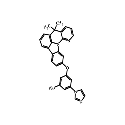 CC(C)(C)c1cc(Oc2ccc3c4cccc5c4n(c3c2)-c2ncccc2C5(C)C)cc(-n2ccnc2)c1